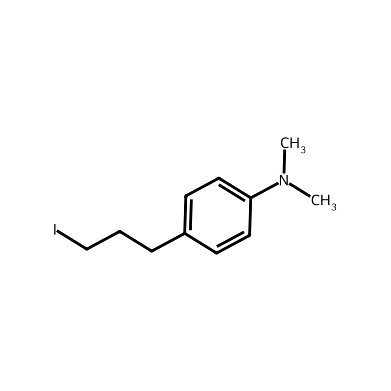 CN(C)c1ccc(CCCI)cc1